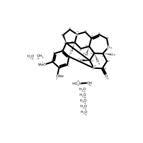 COc1cc2c(cc1OC)[C@@]13CCN4CC5=CCO[C@H]6CC(=O)N2[C@H]1[C@H]6[C@H]5C[C@H]43.O.O.O.O.O.O.O.O=S(=O)(O)O